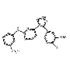 CCOC(=O)c1cccc(Nc2nccc(-c3c[nH]nc3-c3ccc(Cl)c(OC)c3)n2)c1